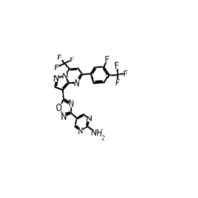 Nc1ncc(-c2noc(-c3cnn4c(C(F)(F)F)cc(-c5ccc(C(F)(F)F)c(F)c5)nc34)n2)cn1